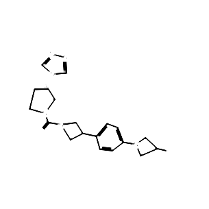 O=C(N1CC(c2ccc(N3CC(C(F)(F)F)C3)cc2)C1)N1CC[C@H](n2cnnc2)C1